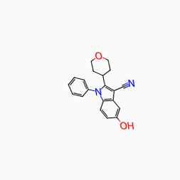 N#Cc1c(C2CCOCC2)n(-c2ccccc2)c2ccc(O)cc12